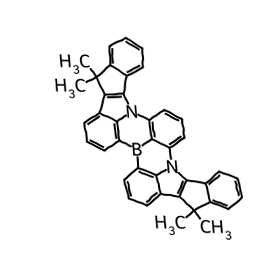 CC1(C)c2ccccc2-c2c1c1cccc3c1n2-c1cccc2c1B3c1cccc3c4c(n-2c13)-c1ccccc1C4(C)C